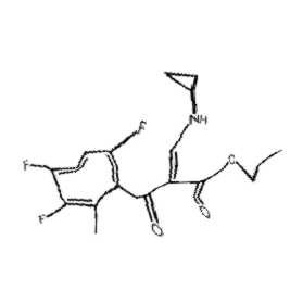 CCOC(=O)/C(=C\NC1CC1)C(=O)c1c(F)cc(F)c(F)c1C